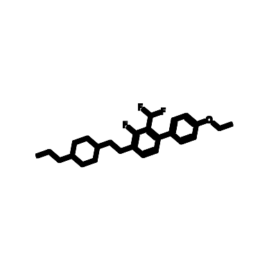 CCCC1CCC(CCc2ccc(-c3ccc(OCC)cc3)c(C(F)F)c2F)CC1